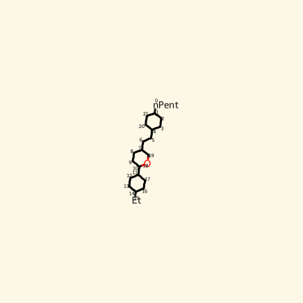 CCCCCC1CCC(CCC2CCC(C3CCC(CC)CC3)OC2)CC1